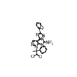 CC(C(=O)Cl)(c1ccccc1)n1ncc2c1nc(N)n1nc(-c3ccco3)nc21